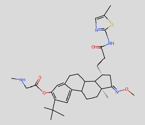 CNCC(=O)Oc1cc2c(cc1C(C)(C)C)C1CC[C@]3(C)C(=NOC)C[C@@H](CCC(=O)Nc4ncc(C)s4)C3C1CC2